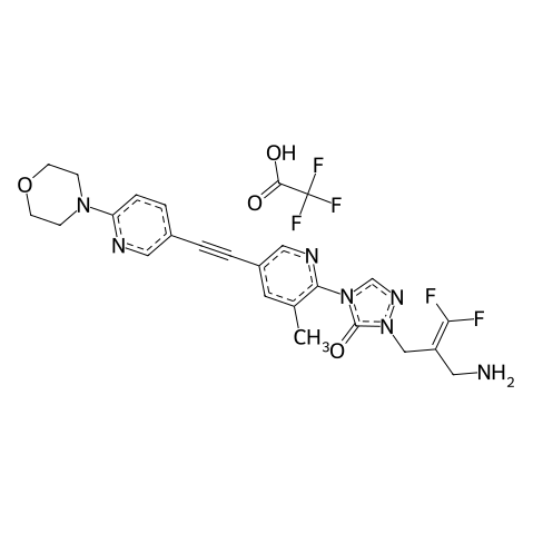 Cc1cc(C#Cc2ccc(N3CCOCC3)nc2)cnc1-n1cnn(CC(CN)=C(F)F)c1=O.O=C(O)C(F)(F)F